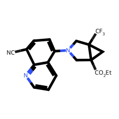 CCOC(=O)C12CN(c3ccc(C#N)c4ncccc34)CC1(C(F)(F)F)C2